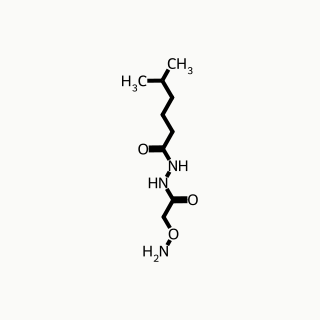 CC(C)CCCC(=O)NNC(=O)CON